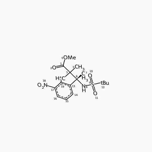 COC(=O)C(C)(C)[C@](C)(NS(=O)(=O)C(C)(C)C)c1cccc([N+](=O)[O-])c1